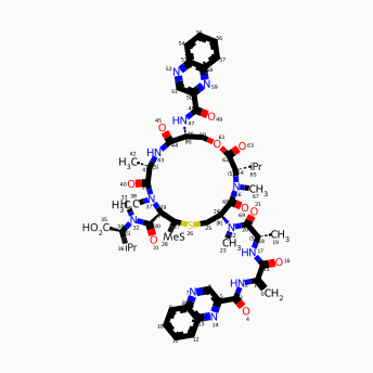 C=C(NC(=O)c1cnc2ccccc2n1)C(=O)N[C@@H](C)C(=O)N(C)[C@H]1CSC(SC)[C@@H](C(=O)N(C)[C@H](C(=O)O)C(C)C)N(C)C(=O)[C@H](C)NC(=O)[C@H](NC(=O)c2cnc3ccccc3n2)COC(=O)[C@H](C(C)C)N(C)C1=O